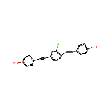 Oc1ccc(C#Cc2ccc(C#Cc3ccc(O)cc3)c(F)c2)cc1